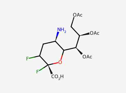 CC(=O)OC[C@@H](OC(C)=O)[C@@H](OC(C)=O)C1O[C@@](F)(C(=O)O)C(F)C[C@H]1N